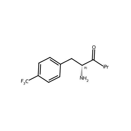 CC(C)C(=O)[C@H](N)Cc1ccc(C(F)(F)F)cc1